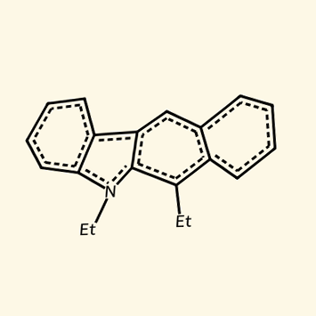 CCc1c2ccccc2cc2c3ccccc3n(CC)c12